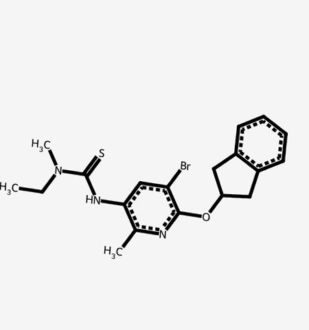 CCN(C)C(=S)Nc1cc(Br)c(OC2Cc3ccccc3C2)nc1C